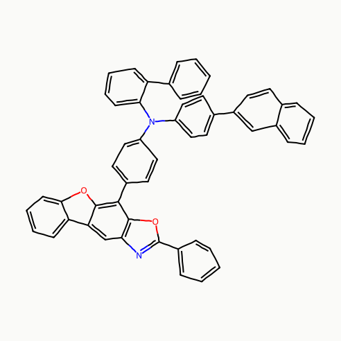 c1ccc(-c2nc3cc4c(oc5ccccc54)c(-c4ccc(N(c5ccc(-c6ccc7ccccc7c6)cc5)c5ccccc5-c5ccccc5)cc4)c3o2)cc1